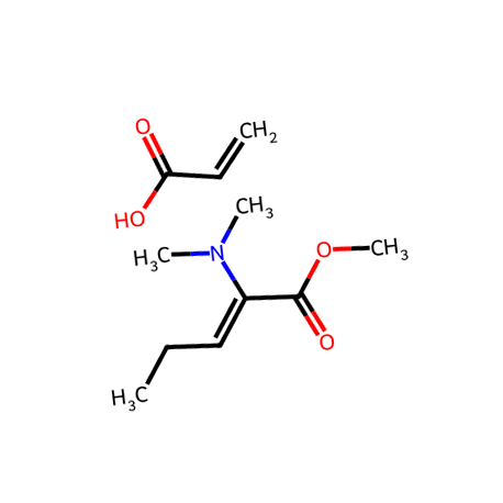 C=CC(=O)O.CCC=C(C(=O)OC)N(C)C